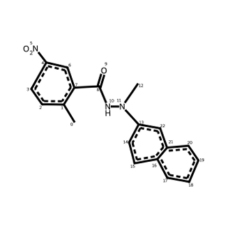 Cc1ccc([N+](=O)[O-])cc1C(=O)NN(C)c1ccc2ccccc2c1